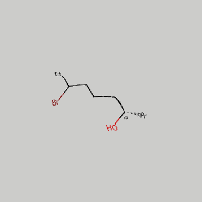 CCC[C@H](O)CCCC(Br)CC